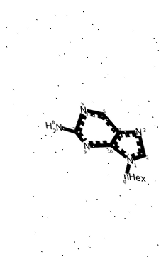 CCCCCCn1cnc2cnc(N)nc21